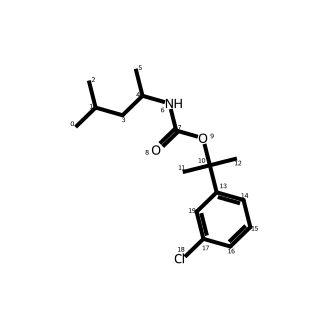 CC(C)CC(C)NC(=O)OC(C)(C)c1cccc(Cl)c1